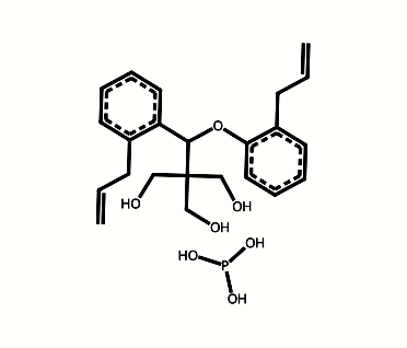 C=CCc1ccccc1OC(c1ccccc1CC=C)C(CO)(CO)CO.OP(O)O